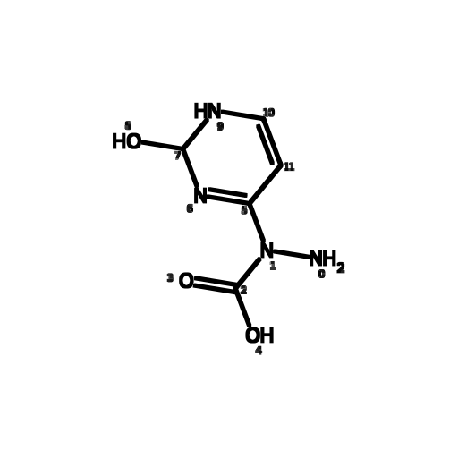 NN(C(=O)O)C1=NC(O)NC=C1